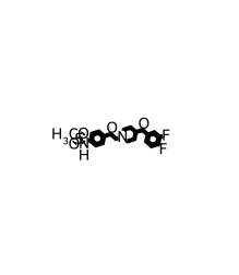 CS(=O)(=O)Nc1ccc(C(=O)CN2CCC(C(=O)c3ccc(F)c(F)c3)CC2)cc1